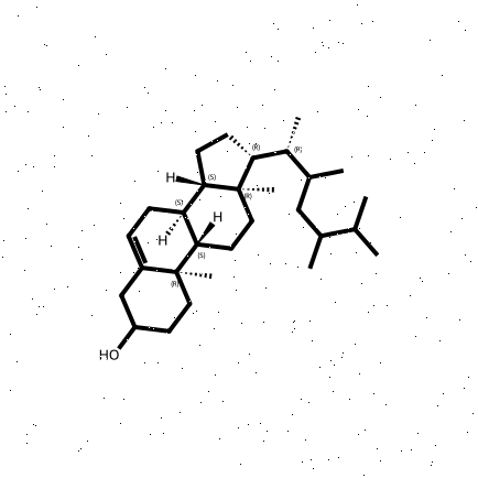 CC(C)C(C)CC(C)[C@@H](C)[C@H]1CC[C@H]2[C@@H]3CC=C4CC(O)CC[C@]4(C)[C@H]3CC[C@]12C